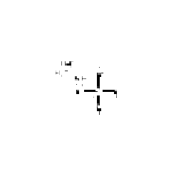 Br.Br.O.[Br][Pt]([Br])([Br])[Br]